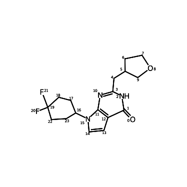 O=c1[nH]c(CC2CCOC2)nc2c1ccn2C1CCC(F)(F)CC1